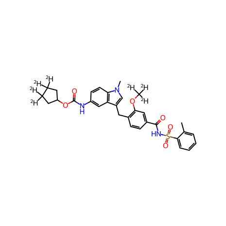 [2H]C([2H])([2H])Oc1cc(C(=O)NS(=O)(=O)c2ccccc2C)ccc1Cc1cn(C)c2ccc(NC(=O)OC3CC([2H])([2H])C([2H])([2H])C3)cc12